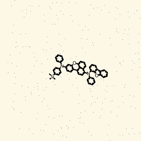 C[Si](C)(C)c1ccc(N(c2ccccc2)c2ccc3c(c2)Oc2cccc4c(N(c5ccccc5)c5cccc6c5oc5ccccc56)ccc-3c24)cc1